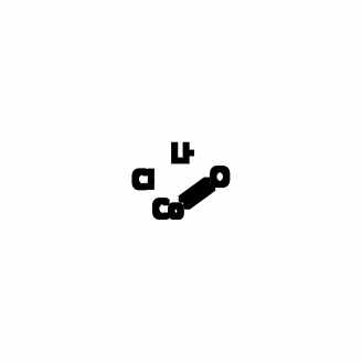 [C].[Li].[O]=[Co]